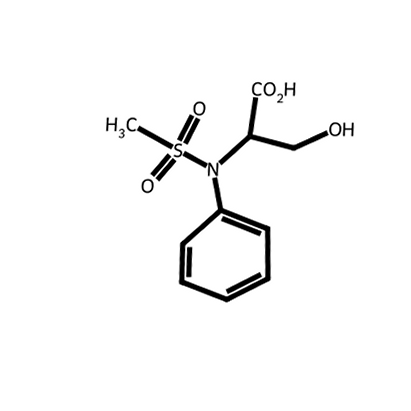 CS(=O)(=O)N(c1ccccc1)C(CO)C(=O)O